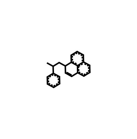 CC(CC1C=Cc2cccc3cccc1c23)c1ccccc1